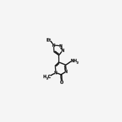 CCn1cc(-c2cn(C)c(=O)nc2N)nn1